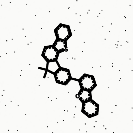 CC1(C)c2ccc(-c3cccc4c3oc3ccccc34)cc2-c2c1ccc1c2sc2ccccc21